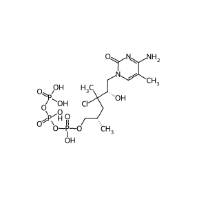 Cc1cn(C[C@H](O)C(C)(Cl)C[C@H](C)COP(=O)(O)OP(=O)(O)OP(=O)(O)O)c(=O)nc1N